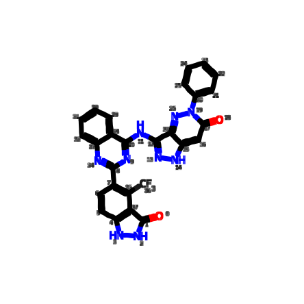 O=c1[nH][nH]c2ccc(-c3nc(Nc4n[nH]c5cc(=O)n(-c6ccccc6)nc45)c4ccccc4n3)c(C(F)(F)F)c12